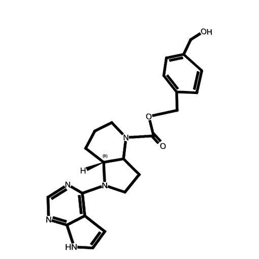 O=C(OCc1ccc(CO)cc1)N1CCC[C@@H]2C1CCN2c1ncnc2[nH]ccc12